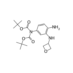 CC(C)(C)OC(=O)N(C(=O)OC(C)(C)C)c1ccc(N)c(NC2COC2)c1